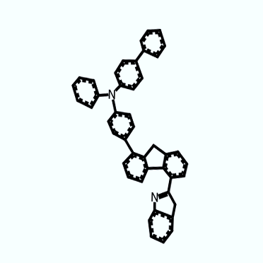 c1ccc(-c2ccc(N(c3ccccc3)c3ccc(-c4cccc5c4Cc4cccc(C6=Nc7ccccc7C6)c4-5)cc3)cc2)cc1